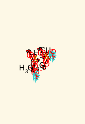 CC1C2CC3CC(C2)CC1(CC(=O)OCOc1ccccc1[S+](c1ccccc1)c1ccccc1OCOC(=O)CC12CC4CC(CC(C4)C1C)C2)C3.CC1C2CC3CC(C2)CC1(CC(=O)OCOc1ccccc1[S+](c1ccccc1)c1ccccc1OCOC(=O)CC12CC4CC(CC(C4)C1C)C2)C3.O=C([O-])C(F)(F)C(F)(F)C(F)(F)C(F)(F)F.O=C([O-])C(F)(F)C(F)(F)C(F)(F)C(F)(F)F